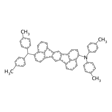 Cc1ccc(C(c2ccc(C)cc2)c2ccc3c4cc5c(cc4c4cccc2c34)c2ccc(N(c3ccc(C)cc3)c3ccc(C)cc3)c3cccc5c32)cc1